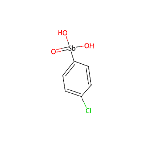 [O]=[Sb]([OH])([OH])[c]1ccc(Cl)cc1